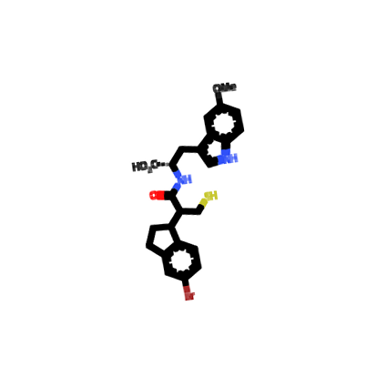 COc1ccc2[nH]cc(C[C@H](NC(=O)C(CS)C3CCc4cc(Br)ccc43)C(=O)O)c2c1